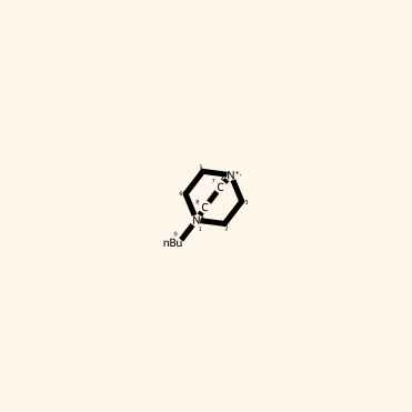 CCCC[N+]12CC[N+](CC1)CC2